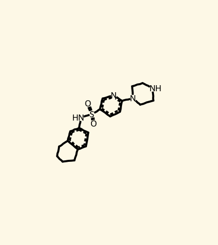 O=S(=O)(Nc1ccc2c(c1)CCCC2)c1ccc(N2CCNCC2)nc1